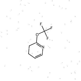 FC(F)(F)OC1=NC=CCC1